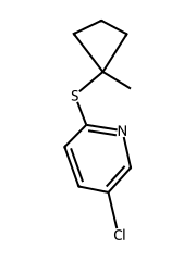 CC1(Sc2ccc(Cl)cn2)CCC1